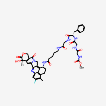 CC[C@@]1(O)C(=O)OCc2c1cc1n(c2=O)Cc2c-1nc1cc(F)c(C)c3c1c2[C@@H](NC(=O)CCCCNC(=O)CNC(=O)[C@H](Cc1ccccc1)NC(=O)CNC(=O)CNC(=O)OC(C)(C)C)CC3